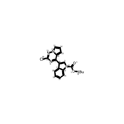 CC(C)(C)OC(=O)n1cc(-c2nc(Cl)nn3cccc23)c2ccccc21